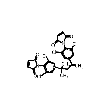 C=C(CC(C)(C)c1cc(Cl)c(N2C(=O)C=CC2=O)c(Cl)c1)c1cc(Cl)c(N2C(=O)C=CC2=O)c(Cl)c1